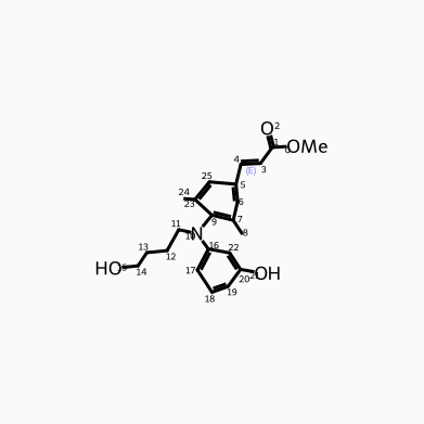 COC(=O)/C=C/c1cc(C)c(N(CCCCO)c2cccc(O)c2)c(C)c1